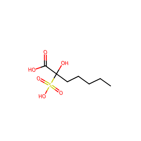 CCCCCC(O)(C(=O)O)S(=O)(=O)O